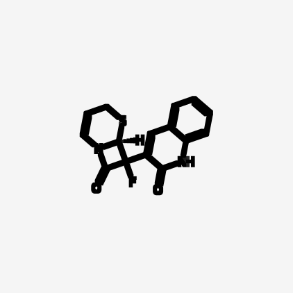 O=C1N2C=CCS[C@H]2C1(F)c1cc2ccccc2[nH]c1=O